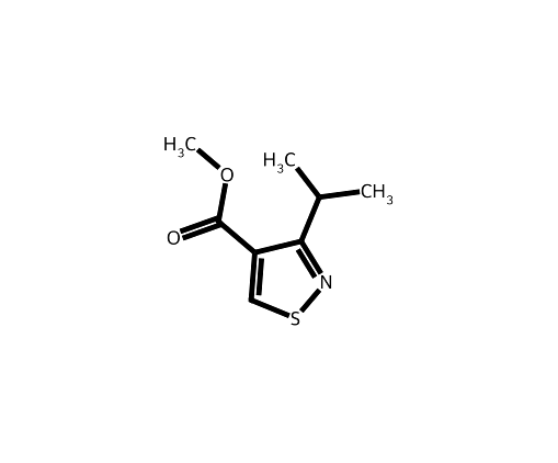 COC(=O)c1csnc1C(C)C